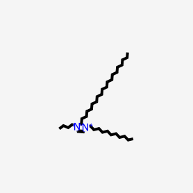 CCCCCCCCCCCCCCCCCCCc1n(CCCC)cc[n+]1CCCCCCCCCCC